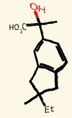 CCC1(C)Cc2ccc(C(C)(O)C(=O)O)cc2C1